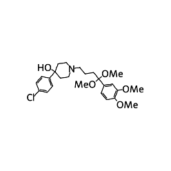 COc1ccc(C(CCCN2CCC(O)(c3ccc(Cl)cc3)CC2)(OC)OC)cc1OC